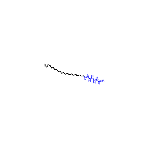 CCCCCCCCCCCCCCCCCCCCNNNNNNNN